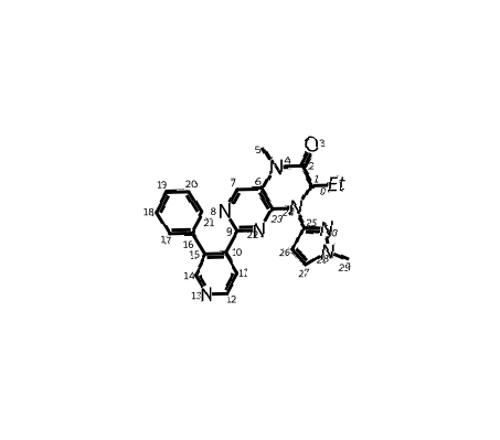 CCC1C(=O)N(C)c2cnc(-c3ccncc3-c3ccccc3)nc2N1c1ccn(C)n1